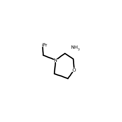 CC(C)CN1CCOCC1.N